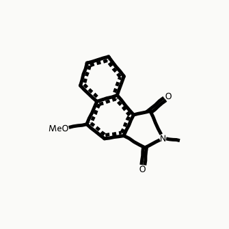 COc1cc2c(c3ccccc13)C(=O)N(C)C2=O